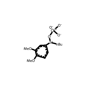 CCCC[S+](O[Cl+3]([O-])([O-])[O-])c1ccc(OC)c(OC)c1